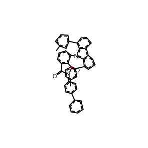 Cc1cccc(-c2cccc3c4cccc(-c5cccc(C)c5)c4n(-c4cccc5c4C(=O)N(c4ccc(-c6ccccc6)cc4)C5=O)c23)c1